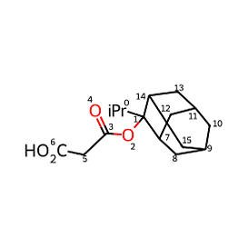 CC(C)C1(OC(=O)CC(=O)O)C2CC3CC(C2)CC1C3